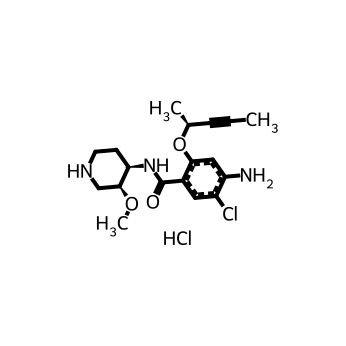 CC#C[C@H](C)Oc1cc(N)c(Cl)cc1C(=O)N[C@@H]1CCNC[C@@H]1OC.Cl